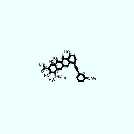 COc1cccc(C#Cc2ccc(O)c3c2CC2CC4C(N(C)C)C(O)=C(C(N)=O)CC4(O)C(O)=C2C3=O)c1